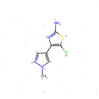 Cn1cc(-c2nc(N)sc2Cl)cn1